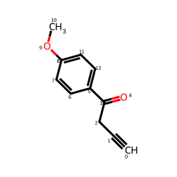 C#CCC(=O)c1ccc(OC)cc1